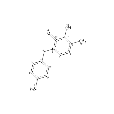 Cc1ccc(Cn2ccc(C)c(O)c2=O)cc1